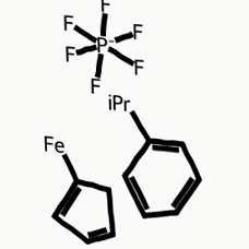 CC(C)c1ccccc1.F[P-](F)(F)(F)(F)F.[Fe][C]1=CC=CC1